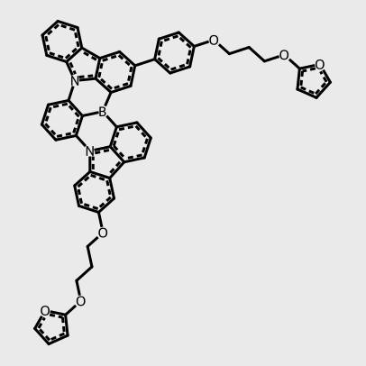 c1coc(OCCCOc2ccc(-c3cc4c5c(c3)c3ccccc3n5-c3cccc5c3B4c3cccc4c6cc(OCCCOc7ccco7)ccc6n-5c34)cc2)c1